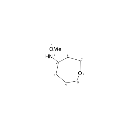 CONC1CCCOCC1